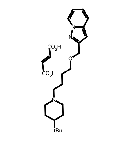 CC(C)(C)C1CCN(CCCCOCc2cc3ccccn3n2)CC1.O=C(O)C=CC(=O)O